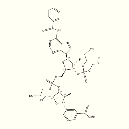 C=CCOP(=O)(OCCC#N)O[C@H]1[C@@H](F)[C@H](n2cnc3c(NC(=O)c4ccccc4)ncnc32)O[C@@H]1COP(=S)(OCCC#N)O[C@H]1[C@@H](C)[C@H](c2ccnc(C(=O)OC)c2)O[C@@H]1CO